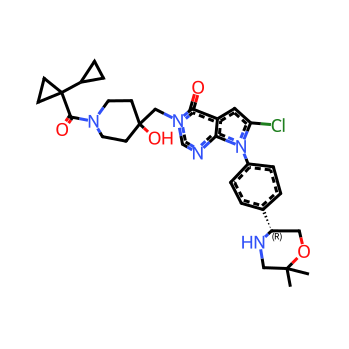 CC1(C)CN[C@H](c2ccc(-n3c(Cl)cc4c(=O)n(CC5(O)CCN(C(=O)C6(C7CC7)CC6)CC5)cnc43)cc2)CO1